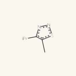 Cc1snnc1C(C)C